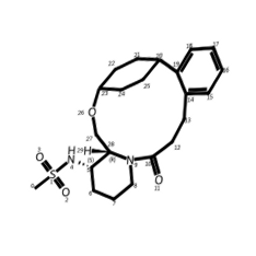 CS(=O)(=O)N[C@H]1CCCN2C(=O)CCc3ccccc3C3CCC(CC3)OC[C@@H]12